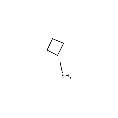 C1CCC1.C[SiH3]